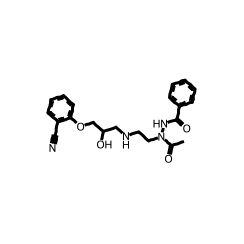 CC(=O)N(CCNCC(O)COc1ccccc1C#N)NC(=O)c1ccccc1